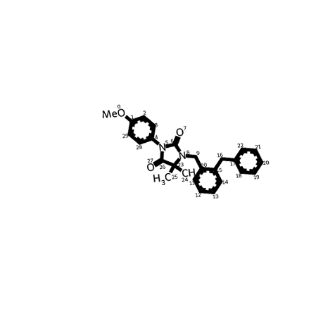 COc1ccc(N2C(=O)N(Cc3ccccc3Cc3ccccc3)C(C)(C)C2=O)cc1